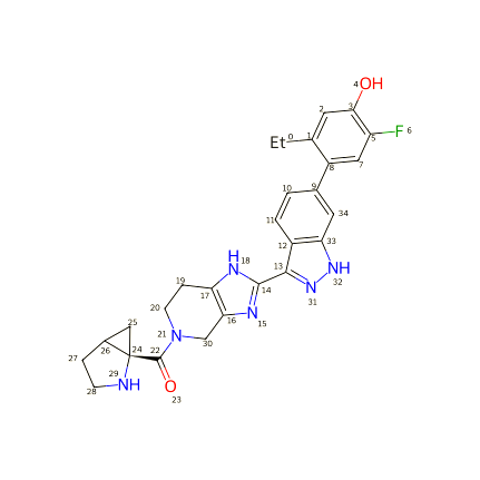 CCc1cc(O)c(F)cc1-c1ccc2c(-c3nc4c([nH]3)CCN(C(=O)[C@]35CC3CCN5)C4)n[nH]c2c1